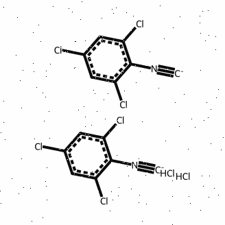 Cl.Cl.[C-]#[N+]c1c(Cl)cc(Cl)cc1Cl.[C-]#[N+]c1c(Cl)cc(Cl)cc1Cl